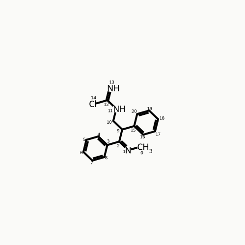 C/N=C(/c1ccccc1)C(CNC(=N)Cl)c1ccccc1